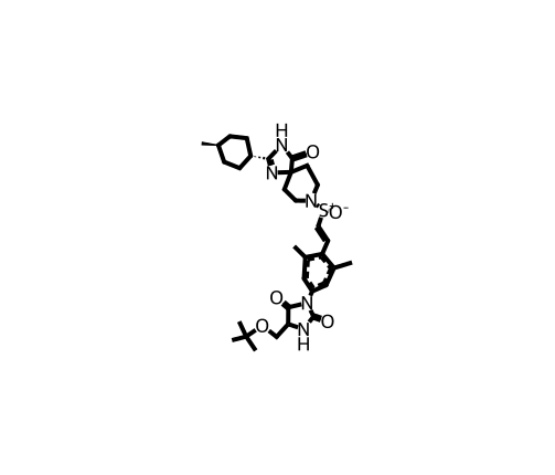 Cc1cc(N2C(=O)NC(COC(C)(C)C)C2=O)cc(C)c1/C=C/[S+]([O-])N1CCC2(CC1)N=C([C@H]1CC[C@H](C)CC1)NC2=O